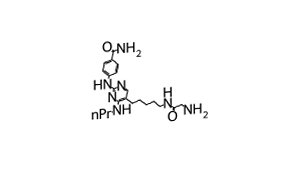 CCCNc1nc(Nc2ccc(C(N)=O)cc2)ncc1CCCCCNC(=O)CN